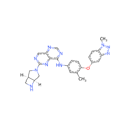 Cc1cc(Nc2ncnc3cnc(N4C[C@@H]5CN[C@@H]5C4)nc23)ccc1Oc1ccc2c(c1)nnn2C